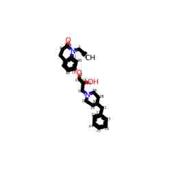 C#CCN1C(=O)CCc2ccc(OCC(O)CN3CCC(Cc4ccccc4)CC3)cc21